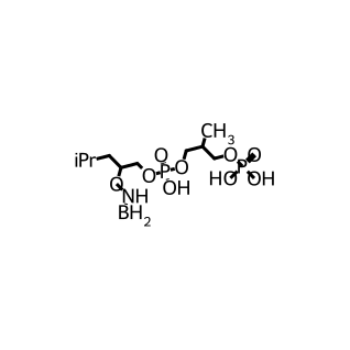 BNOC(COP(=O)(O)OCC(C)COP(=O)(O)O)CC(C)C